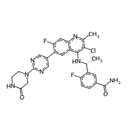 Cc1nc2cc(F)c(-c3cnc(N4CCNC(=O)C4)nc3)cc2c(N[C@H](C)c2cc(C(N)=O)ccc2F)c1Cl